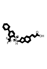 O=C(O)C=Cc1ccc2c(c1)CC(NS(=O)(=O)c1ccc(-c3ccccc3)cc1C(F)(F)F)C2